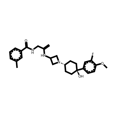 C=C(CNC(=O)c1cccc(C)c1)NC1CN([C@H]2CC[C@@](O)(c3ccc(OC)c(F)c3)CC2)C1